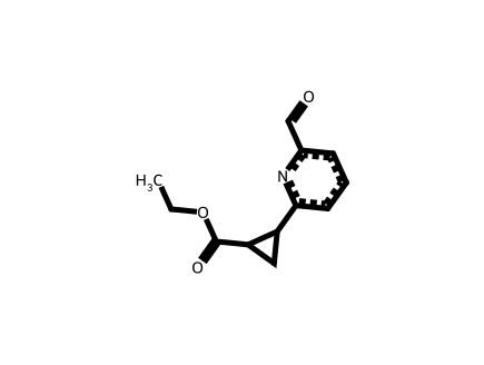 CCOC(=O)C1CC1c1cccc(C=O)n1